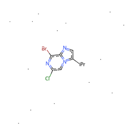 CC(C)c1cnc2c(Br)nc(Cl)cn12